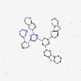 c1cncc(-c2ccccc2-c2cc(-c3cc(-c4ccc5sc6ccccc6c5c4)cc(-c4ccc5sc6ccccc6c5c4)c3)nc(-c3ccc4ccccc4c3)n2)c1